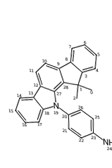 CC1(C)c2ccccc2-c2ccc3c4ccccc4n(-c4ccc(N)cc4)c3c21